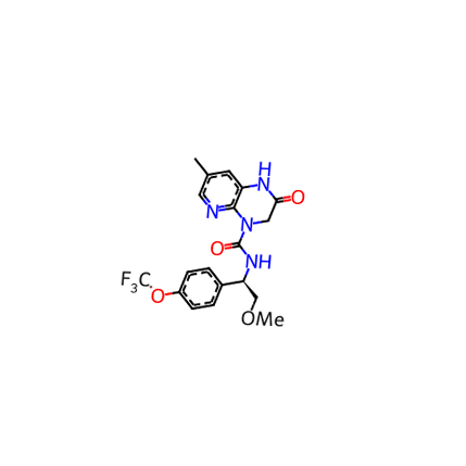 COC[C@H](NC(=O)N1CC(=O)Nc2cc(C)cnc21)c1ccc(OC(F)(F)F)cc1